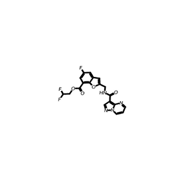 O=C(OCC(F)F)c1cc(F)cc2cc(CNC(=O)c3cnn4cccnc34)oc12